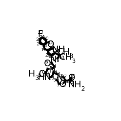 C[C@@H]1CN(CC(=O)N2CC(C)(C)c3[nH]c(=O)c(Cc4ccc(F)cc4)cc32)[C@@H](CN2CCOC(C(N)=O)C2)CN1